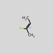 [CH2]/C=C(/C)F